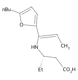 C/C=C(\N[C@@H](CC)CC(=O)O)c1ccc(CCCC)o1